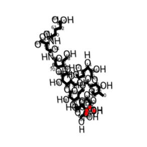 CC1C(O)[C@H](O[C@@H]2OC(CO)[C@H](O)C(O)[C@@H]2O)[C@H](CO)O[C@H]1O[C@@H]1C(O)[C@H](O)C(CO)O[C@@H]1OCC1O[C@@H](O[C@@H]2C(CO)O[C@@H](O[C@@H]3C(CO)O[C@@H](NC(=O)CC(NC(=O)CCCC(=O)O)C(=O)O)[C@@H](C)C3O)[C@@H](C)C2O)[C@H](O)C(O[C@@H]2OC(O)[C@H](O)[C@@H](CO)O2)[C@@H]1O